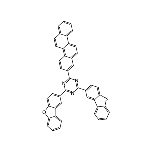 c1ccc2c(c1)ccc1c3ccc(-c4nc(-c5ccc6oc7ccccc7c6c5)nc(-c5ccc6sc7ccccc7c6c5)n4)cc3ccc21